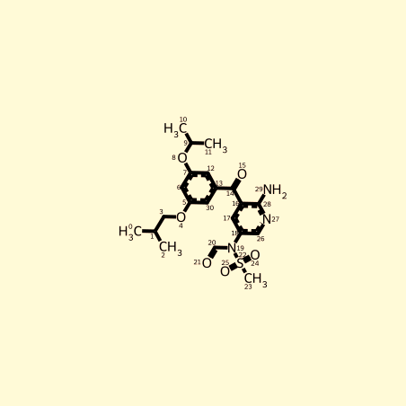 CC(C)COc1cc(OC(C)C)cc(C(=O)c2cc(N(C=O)S(C)(=O)=O)cnc2N)c1